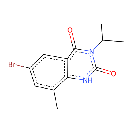 Cc1cc(Br)cc2c(=O)n(C(C)C)c(=O)[nH]c12